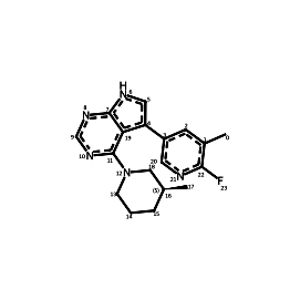 Cc1cc(-c2c[nH]c3ncnc(N4CCC[C@H](C)C4)c23)cnc1F